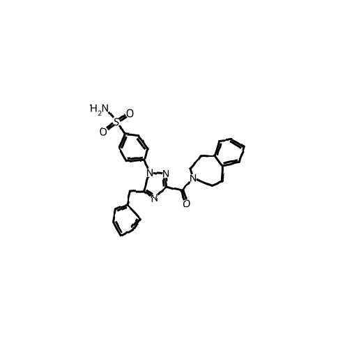 NS(=O)(=O)c1ccc(-n2nc(C(=O)N3CCc4ccccc4CC3)nc2Cc2ccccc2)cc1